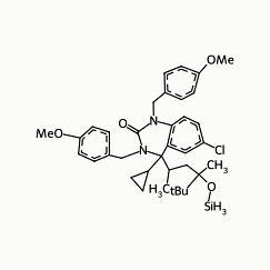 COc1ccc(CN2C(=O)N(Cc3ccc(OC)cc3)C(C(C)CC(C)(O[SiH3])C(C)(C)C)(C3CC3)c3cc(Cl)ccc32)cc1